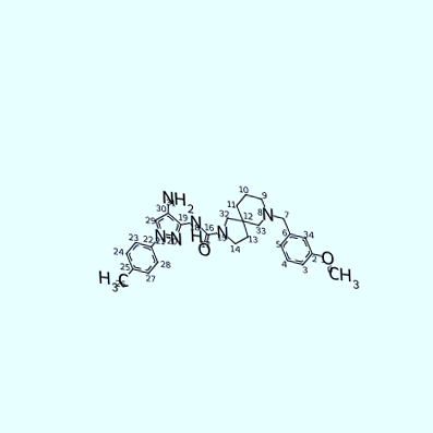 COc1cccc(CN2CCCC3(CCN(C(=O)Nc4nn(-c5ccc(C)cc5)cc4N)C3)C2)c1